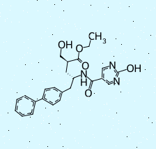 CCOC(=O)[C@H](CO)C[C@@H](Cc1ccc(-c2ccccc2)cc1)NC(=O)c1cnc(O)nc1